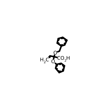 C=CC(OCc1ccccc1)(Oc1ccccc1)C(=O)O